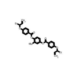 C=CC(CC)Oc1ccc(C(=O)Oc2ccc(OC(=O)c3ccc(OC(C=C)CC)cc3)c(C(C)(C)C)c2)cc1